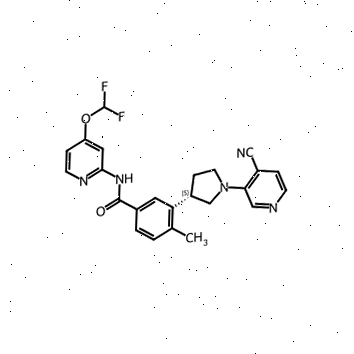 Cc1ccc(C(=O)Nc2cc(OC(F)F)ccn2)cc1[C@@H]1CCN(c2cnccc2C#N)C1